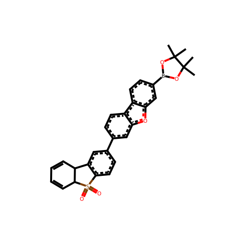 CC1(C)OB(c2ccc3c(c2)oc2cc(-c4ccc5c(c4)C4C=CC=CC4S5(=O)=O)ccc23)OC1(C)C